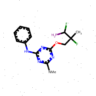 CNc1nc(Nc2ccccc2)nc(OCC(C)(F)C(F)P)n1